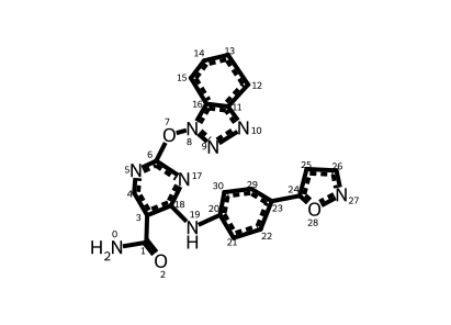 NC(=O)c1cnc(On2nnc3ccccc32)nc1Nc1ccc(-c2ccno2)cc1